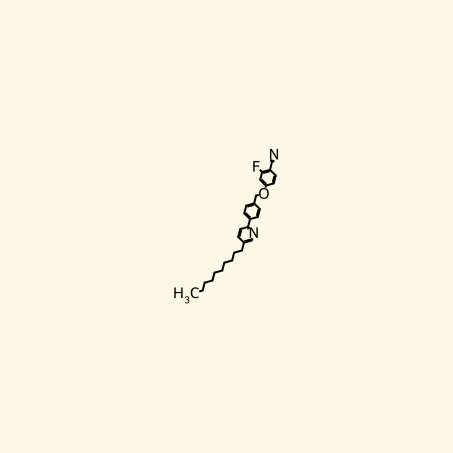 CCCCCCCCCCc1ccc(-c2ccc(COc3ccc(C#N)c(F)c3)cc2)nc1